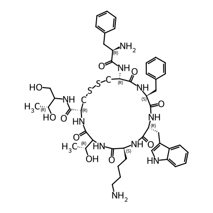 C[C@@H](O)C(CO)NC(=O)[C@@H]1CSSC[C@H](NC(=O)[C@H](N)Cc2ccccc2)C(=O)N[C@@H](Cc2ccccc2)C(=O)N[C@H](Cc2c[nH]c3ccccc23)C(=O)N[C@@H](CCCCN)C(=O)NC([C@@H](C)O)C(=O)N1